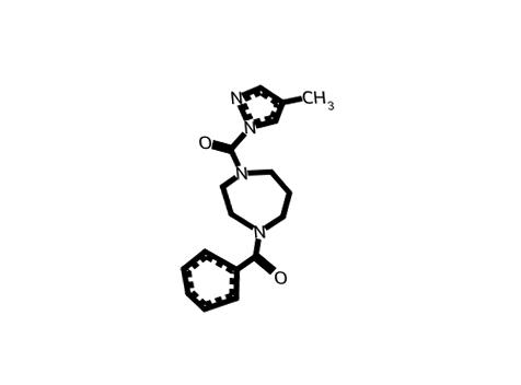 Cc1cnn(C(=O)N2CCCN(C(=O)c3ccccc3)CC2)c1